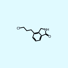 O=C1NCc2c(CCCCl)cccc21